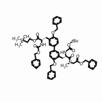 CN(CC(=O)OCc1ccccc1)C(=O)[C@H](Cc1cc(-c2ccc(OCc3ccccc3)c(C[C@H](NC(=O)OCc3ccccc3)C(=O)OCC[Si](C)(C)C)c2)ccc1OCc1ccccc1)NC(=O)OC(C)(C)C